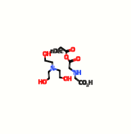 CCCCCCCCCCCC(=O)OC(=O)CNCC(=O)O.OCCN(CCO)CCO